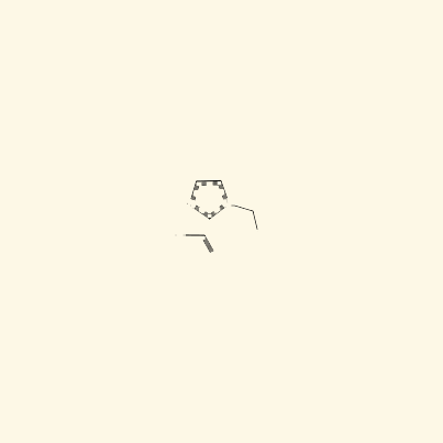 CCn1ccnc1.O=CO